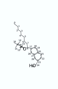 CCCCCCCCC(O[Si](C)(C)C(C)(C)C)c1ccc2ccc(CO)cc2c1